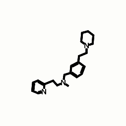 CN(CCc1ccccn1)Cc1cccc(CCN2CCCCC2)c1